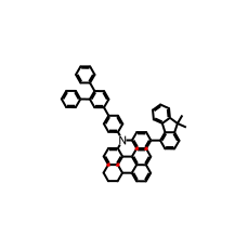 CC1(C)c2ccccc2-c2c(-c3ccc(N(c4ccc(-c5ccc(-c6ccccc6)c(-c6ccccc6)c5)cc4)c4ccccc4-c4cccc5cccc(C6CCCCC6)c45)cc3)cccc21